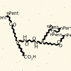 CCCCCC(CCCCC)CCCOC(=O)CCCCCCCN(CCCCCCCC(=O)O)CCNC(=O)CCC(=O)NCCN(CCCCCCCC(=O)OCCCC(CCCCC)CCCCC)CCCCCCCC(=O)OCCCC(CCCCC)CCCCC